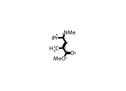 CNC(/C=C(\C)C(=O)OC)C(C)C